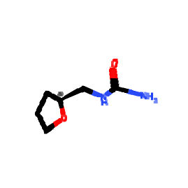 NC(=O)NC[C@@H]1CCCO1